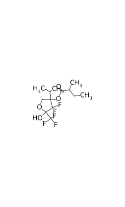 CCC(C)C(=O)OC1(C(C)C)COC(O)(C(F)(F)F)C1(F)F